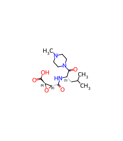 CC(C)C[C@H](NC(=O)[C@@H]1O[C@H]1C(=O)O)C(=O)N1CCN(C)CC1